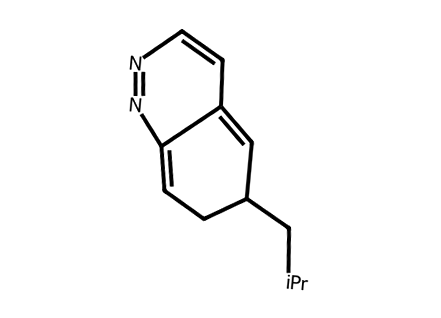 CC(C)CC1C=c2ccnnc2=CC1